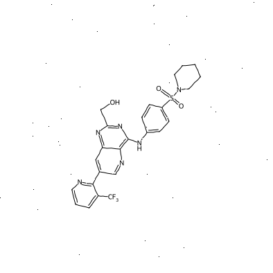 O=S(=O)(c1ccc(Nc2nc(CO)nc3cc(-c4ncccc4C(F)(F)F)cnc23)cc1)N1CCCCC1